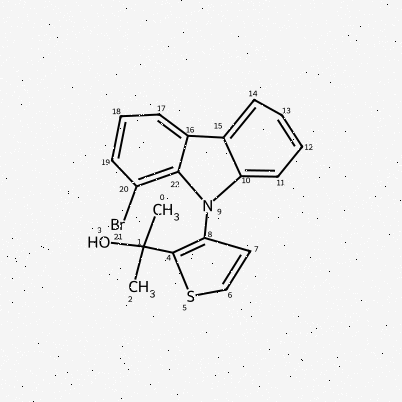 CC(C)(O)c1sccc1-n1c2ccccc2c2cccc(Br)c21